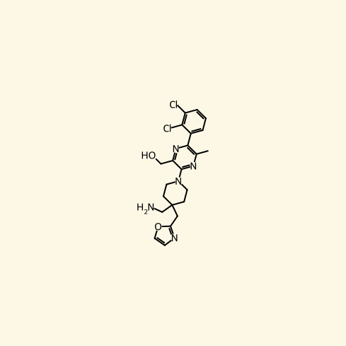 Cc1nc(N2CCC(CN)(Cc3ncco3)CC2)c(CO)nc1-c1cccc(Cl)c1Cl